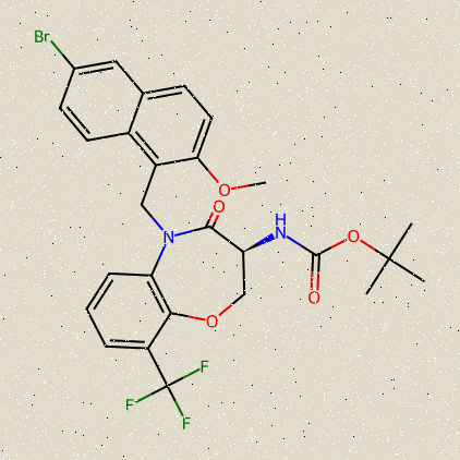 COc1ccc2cc(Br)ccc2c1CN1C(=O)[C@@H](NC(=O)OC(C)(C)C)COc2c1cccc2C(F)(F)F